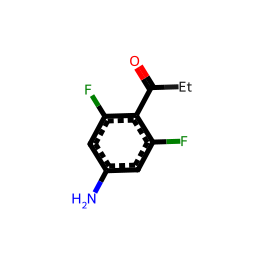 CCC(=O)c1c(F)cc(N)cc1F